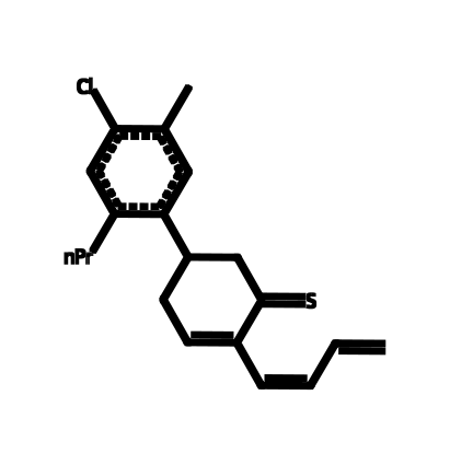 C=C/C=C\C1=CCC(c2cc(C)c(Cl)cc2CCC)CC1=S